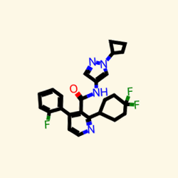 O=C(Nc1cnn(C2CCC2)c1)c1c(-c2ccccc2F)ccnc1C1CCC(F)(F)CC1